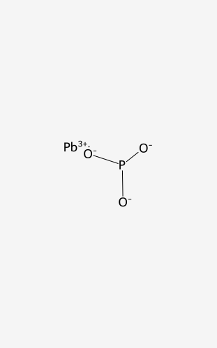 [O-]P([O-])[O-].[Pb+3]